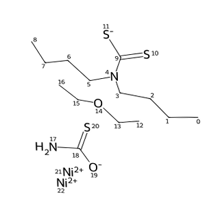 CCCCN(CCCC)C(=S)[S-].CCOCC.NC([O-])=S.[Ni+2].[Ni+2]